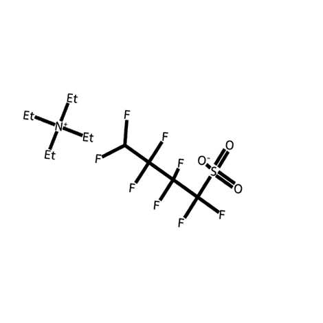 CC[N+](CC)(CC)CC.O=S(=O)([O-])C(F)(F)C(F)(F)C(F)(F)C(F)F